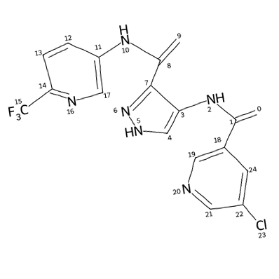 C=C(Nc1c[nH]nc1C(=C)Nc1ccc(C(F)(F)F)nc1)c1cncc(Cl)c1